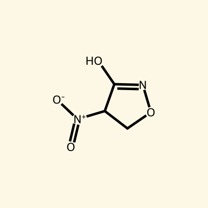 O=[N+]([O-])C1CON=C1O